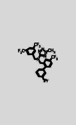 CC(C)c1cccc(-c2ccc(C(F)(F)F)cc2CN(Cc2cc(C(F)(F)F)cc(C(F)(F)F)c2)c2nnn(C)n2)c1